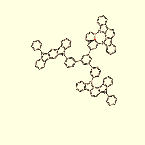 c1ccc(-n2c3ccccc3c3cc4c(cc32)c2ccccc2n4-c2cccc(-c3cc(-c4cccc(-n5c6ccccc6c6ccc7c(c8ccccc8n7-c7ccccc7)c65)c4)cc(-c4cccc(-n5c6ccccc6c6ccc7c8ccccc8n(-c8ccccc8)c7c65)c4)c3)c2)cc1